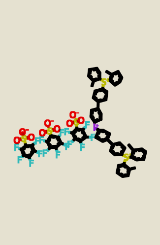 Cc1ccccc1[S+](c1ccc(-c2ccc([I+]c3ccc(-c4ccc([S+](c5ccccc5C)c5ccccc5C)cc4)cc3)cc2)cc1)c1ccccc1C.O=S(=O)([O-])c1c(F)c(F)c(F)c(F)c1F.O=S(=O)([O-])c1c(F)c(F)c(F)c(F)c1F.O=S(=O)([O-])c1c(F)c(F)c(F)c(F)c1F